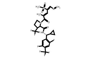 C=N/C=C(\C=C(/C)C(=O)N1CCC(C(F)(F)F)C1C(=O)N[C@@H](c1cc(F)c(C(F)(F)F)cc1F)C1CC1)S(C)(=O)=O